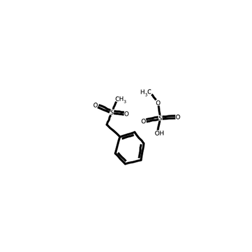 COS(=O)(=O)O.CS(=O)(=O)Cc1ccccc1